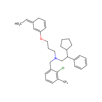 O=C(O)C=C1C=C(OCCCN(Cc2cccc(C(F)(F)F)c2Cl)CC(c2ccccc2)C2CCCC2)C=CC1